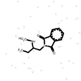 O=C(O)NC(CN1C(=O)c2ccccc2C1=O)CC(F)(F)F